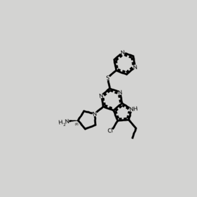 CCc1[nH]c2nc(Sc3cncnc3)nc(N3CC[C@@H](N)C3)c2c1Cl